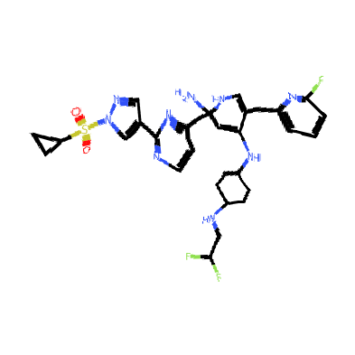 NC1(c2ccnc(-c3cnn(S(=O)(=O)C4CC4)c3)n2)C=C(NC2CCC(NCC(F)F)CC2)C(c2cccc(F)n2)=CN1